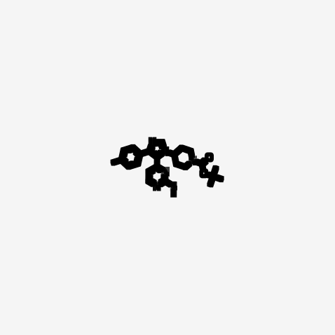 CSc1nccc(-c2c(-c3ccc(C)cc3)ncn2C2CCN(C(=O)OC(C)(C)C)CC2)n1